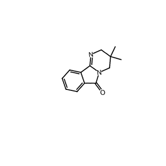 CC1(C)CN=C2c3ccccc3C(=O)N2C1